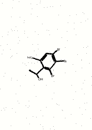 CC(O)c1c(O)cc(Br)c(Br)c1Br